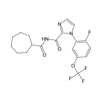 O=C(NC(=O)C1CCCCCC1)c1nccn1-c1cc(OC(F)(F)F)ccc1F